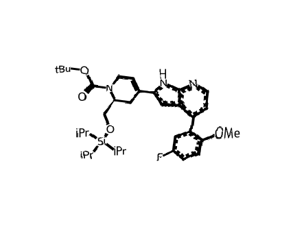 COc1ccc(F)cc1-c1ccnc2[nH]c(C3=CCN(C(=O)OC(C)(C)C)[C@H](CO[Si](C(C)C)(C(C)C)C(C)C)C3)cc12